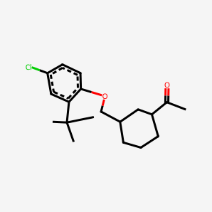 CC(=O)C1CCCC(COc2ccc(Cl)cc2C(C)(C)C)C1